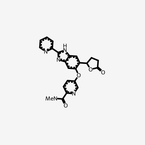 CNC(=O)c1ccc(Oc2cc3nc(-c4ccccn4)[nH]c3cc2C2CCC(=O)O2)cn1